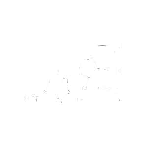 Nc1ccn([C@@H]2O[C@H](CO)C(O)C2(N)C#CCl)c(=O)n1